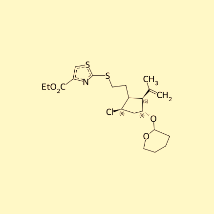 C=C(C)[C@@H]1C(CCSc2nc(C(=O)OCC)cs2)[C@H](Cl)C[C@H]1OC1CCCCO1